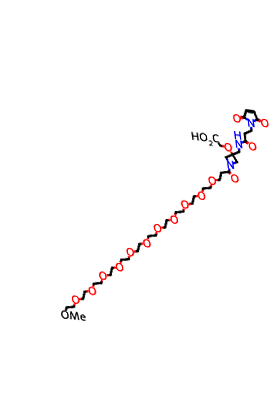 COCCOCCOCCOCCOCCOCCOCCOCCOCCOCCOCCOCCC(=O)N1CC(CNC(=O)CCN2C(=O)C=CC2=O)(OCC(=O)O)C1